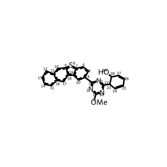 COc1nc(-c2ccc3sc4cc5ccccc5cc4c3c2)nc(C2C=CC=CC2O)n1